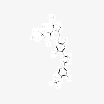 CC(C)(C)OC(=O)N1C(COc2cc(Cl)c(-c3nnc(-c4ccc(OC(F)(F)F)c(Cl)c4)s3)cc2F)COC1(C)C